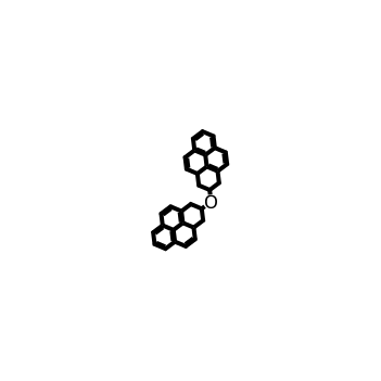 C1=CC2CC(OC3Cc4ccc5cccc6c5c4C(C=C6)C3)Cc3ccc4cccc1c4c32